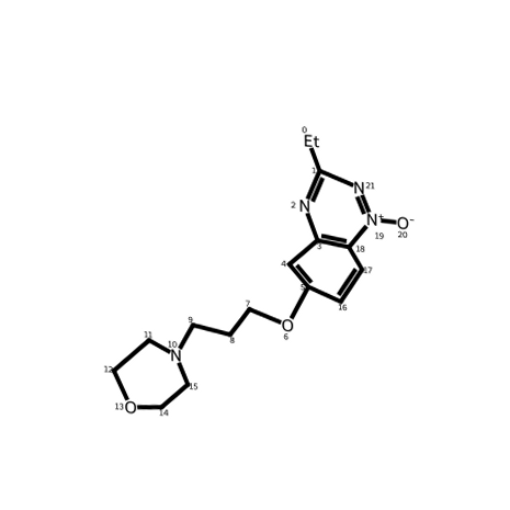 CCc1nc2cc(OCCCN3CCOCC3)ccc2[n+]([O-])n1